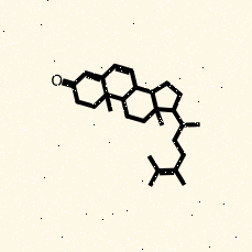 CC(C)=C(C)CCC(C)C1CCC2C3C=CC4=CC(=O)CCC4(C)C3CCC12C